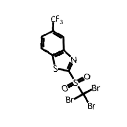 O=S(=O)(c1nc2cc(C(F)(F)F)ccc2s1)C(Br)(Br)Br